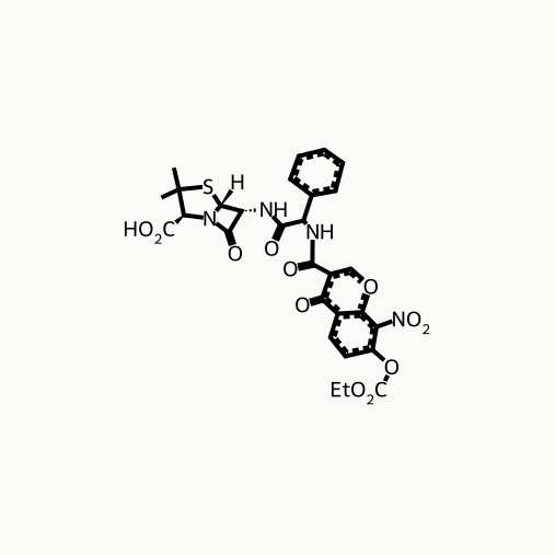 CCOC(=O)Oc1ccc2c(=O)c(C(=O)NC(C(=O)N[C@@H]3C(=O)N4[C@@H]3SC(C)(C)[C@@H]4C(=O)O)c3ccccc3)coc2c1[N+](=O)[O-]